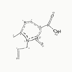 C=CCn1c(C)ncc(C(=O)O)c1=O